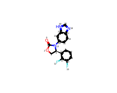 O=C1OC[C@H](c2cccc(F)c2F)N1c1ccc2nc[nH]c2c1